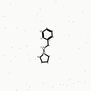 c1ccc(CON2CCCC2)cc1